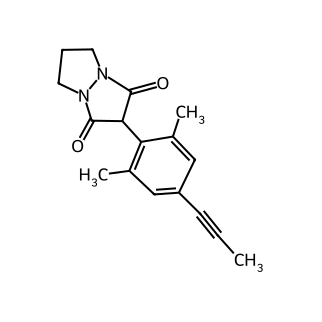 CC#Cc1cc(C)c(C2C(=O)N3CCCN3C2=O)c(C)c1